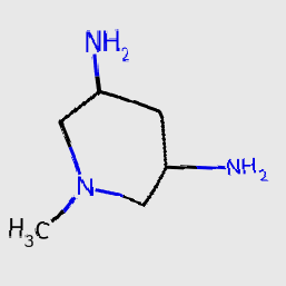 CN1CC(N)CC(N)C1